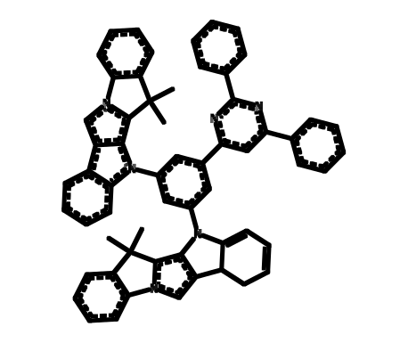 CC1(C)c2ccccc2-n2cc3c(c21)N(c1cc(-c2cc(-c4ccccc4)nc(-c4ccccc4)n2)cc(-n2c4ccccc4c4cn5c(c42)C(C)(C)c2ccccc2-5)c1)C1=CC=CCC13